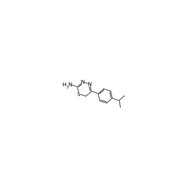 CC(C)c1ccc(C2=NN=C(N)SC2)cc1